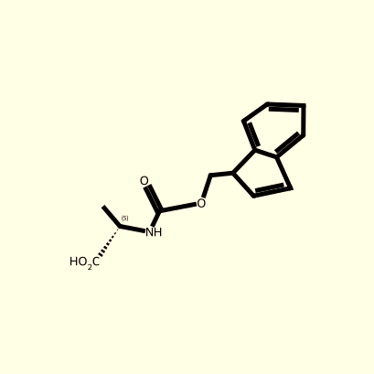 C[C@H](NC(=O)OCC1C=Cc2ccccc21)C(=O)O